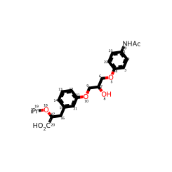 CC(=O)Nc1ccc(OCC(O)COc2cccc(CC(OC(C)C)C(=O)O)c2)cc1